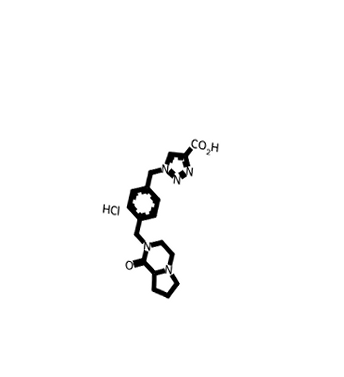 Cl.O=C(O)c1cn(Cc2ccc(CN3CCN4CCCC4C3=O)cc2)nn1